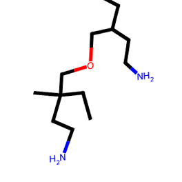 CCC(CCN)COCC(C)(CC)CCN